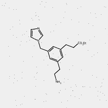 CCOC(=O)CCc1cc(CCN)cc(Cn2ccnc2)c1